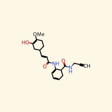 C#CCNC(=O)C1CC=CC=C1NC(=O)/C=C/C1CCC(OC)=C(O)C1